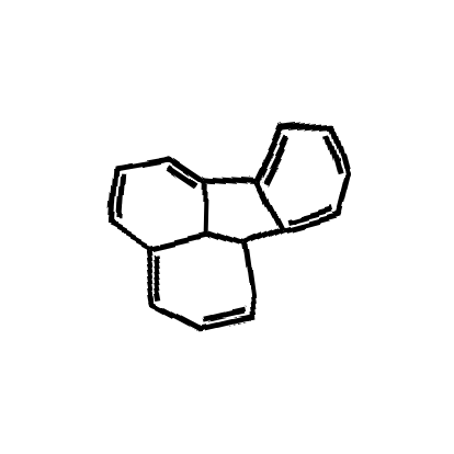 C1=CC2=CC=CC3c4ccccc4C(=C1)C23